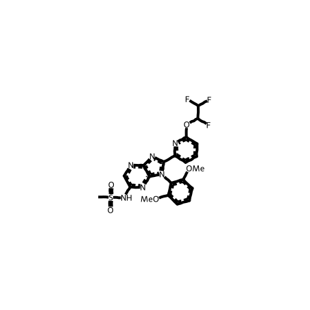 COc1cccc(OC)c1-n1c(-c2cccc(OC(F)C(F)F)n2)nc2ncc(NS(C)(=O)=O)nc21